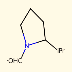 CC(C)C1CCCN1[C]=O